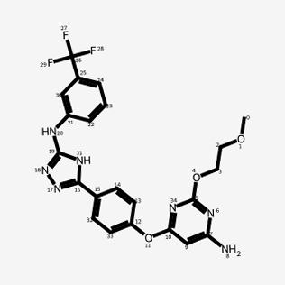 COCCOc1nc(N)cc(Oc2ccc(-c3nnc(Nc4cccc(C(F)(F)F)c4)[nH]3)cc2)n1